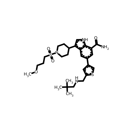 COCCCS(=O)(=O)N1CCC(c2c[nH]c3c(C(N)=O)cc(-c4csc(CNCC(C)(C)C)c4)cc23)CC1